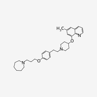 Cc1cc(OC2CCN(CCc3ccc(OCCCN4CCCCCC4)cc3)CC2)c2ncccc2c1